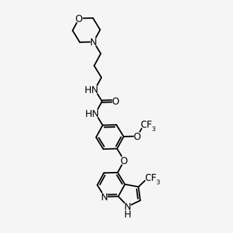 O=C(NCCCN1CCOCC1)Nc1ccc(Oc2ccnc3[nH]cc(C(F)(F)F)c23)c(OC(F)(F)F)c1